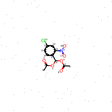 CC(=O)OC(OC(C)=O)c1ccc(Cl)cc1[N+](=O)[O-]